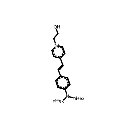 CCCCCCN(CCCCCC)c1ccc(/C=C/c2cc[n+](CCO)cc2)cc1